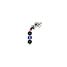 CC(C)(Sc1nc(CCOc2ccc(N3CCN(c4ccc(F)cc4)CC3)cc2)cs1)C(=O)O